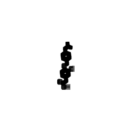 CC(C)Cc1ccc(COc2ccc(CC(=O)O)cc2Cl)cc1